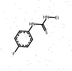 CCNC(=S)Nc1ccc(F)cc1